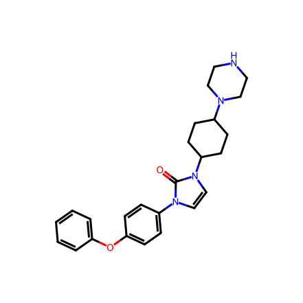 O=c1n(-c2ccc(Oc3ccccc3)cc2)ccn1C1CCC(N2CCNCC2)CC1